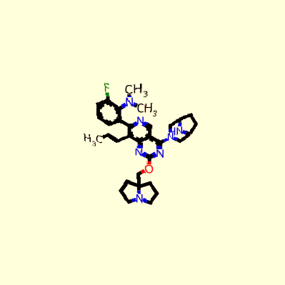 C/C=C/c1c(-c2cccc(F)c2N(C)C)ncc2c(N3CC4CCC(C3)N4)nc(OCC34CCCN3CCC4)nc12